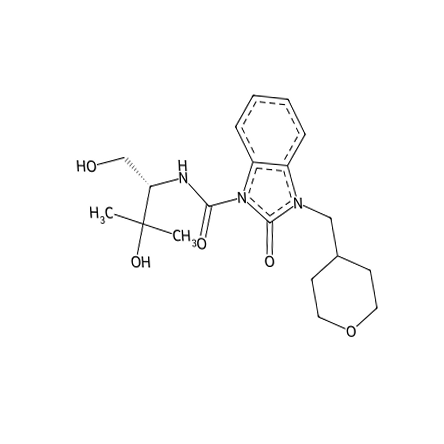 CC(C)(O)[C@H](CO)NC(=O)n1c(=O)n(CC2CCOCC2)c2ccccc21